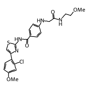 COCCNC(=O)CNc1ccc(C(=O)Nc2nc(-c3ccc(OC)cc3Cl)cs2)cc1